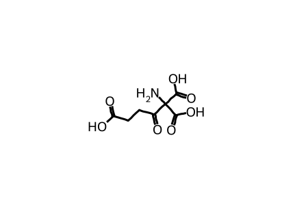 NC(C(=O)O)(C(=O)O)C(=O)CCC(=O)O